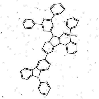 O=S1(c2ccccc2)=Nc2c(c3cc(-c4ccc5c(c4)c4ccccc4n5-c4ccccc4)ccc3n2-c2nc(-c3ccccc3)nc(-c3ccccc3)n2)-c2ccccc21